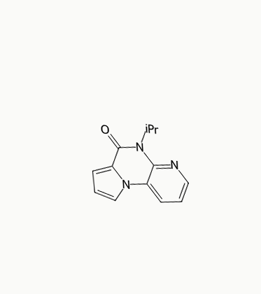 CC(C)n1c(=O)c2cccn2c2cccnc21